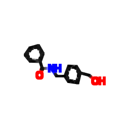 O=C(NCc1ccc(CO)cc1)c1ccccc1